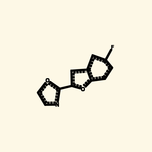 Fc1ccc2oc(-c3ncco3)cc2c1